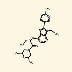 CCn1c(-c2cnc(C)nc2)nc2c(N[C@H](CO)C(=O)N3CC(C)OC(C)C3)ncnc21